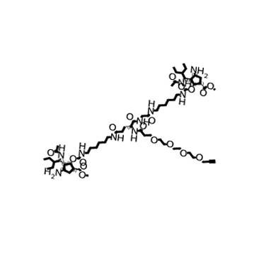 C#CCOCCOCCOCCOCCC(=O)N[C@H](CCC(=O)NCCCCCCNC(=O)O[C@H]1[C@@H]([C@@H](NC(C)=O)C(CC)CC)[C@H](N)C[C@@H]1C(=O)OC)C(=O)NCC(=O)NCCCCCCNC(=O)O[C@H]1[C@@H]([C@@H](NC(C)=O)C(CC)CC)[C@H](N)C[C@@H]1C(=O)OC